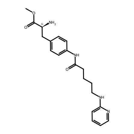 COC(=O)[C@@H](N)Cc1ccc(NC(=O)CCCCNc2ccccn2)cc1